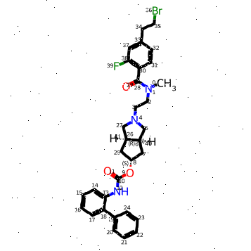 CN(CCN1C[C@H]2C[C@H](OC(=O)Nc3ccccc3-c3ccccc3)C[C@H]2C1)C(=O)c1ccc(CCBr)cc1F